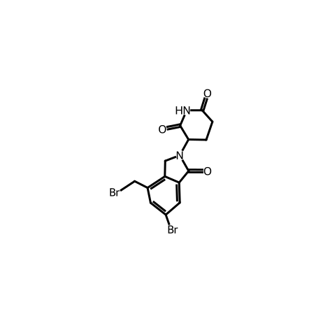 O=C1CCC(N2Cc3c(CBr)cc(Br)cc3C2=O)C(=O)N1